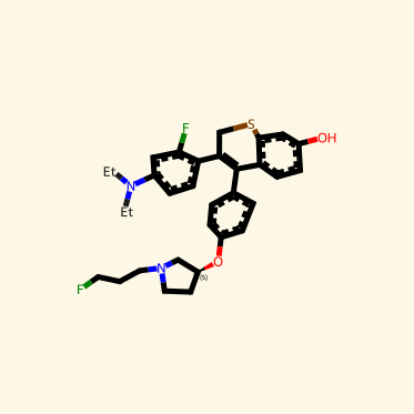 CCN(CC)c1ccc(C2=C(c3ccc(O[C@H]4CCN(CCCF)C4)cc3)c3ccc(O)cc3SC2)c(F)c1